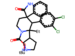 CCC1(C2CCNC2)C(c2ccc(Cl)c(Cl)c2)C(C(N)=O)(c2ccccc2)CCN1C(=O)OC(C)(C)C